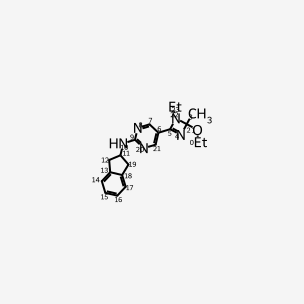 CCOC1(C)N=C(c2cnc(NC3Cc4ccccc4C3)nc2)N1CC